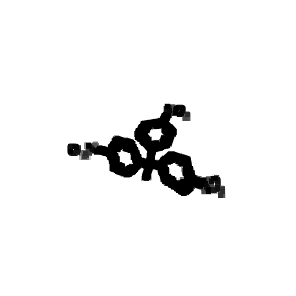 [CH2]C(c1ccc([N+](=O)[O-])cc1)(c1ccc([N+](=O)[O-])cc1)c1ccc([N+](=O)[O-])cc1